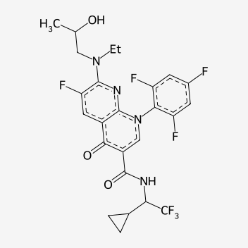 CCN(CC(C)O)c1nc2c(cc1F)c(=O)c(C(=O)NC(C1CC1)C(F)(F)F)cn2-c1c(F)cc(F)cc1F